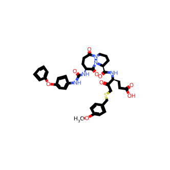 COc1ccc(CSCC(=O)[C@H](CCC(=O)O)NC(=O)[C@@H]2CCCN3C(=O)CC[C@H](NC(=O)Nc4ccc(Oc5ccccc5)cc4)C(=O)N23)cc1